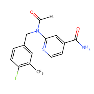 CCC(=O)N(Cc1ccc(F)c(C(F)(F)F)c1)c1cc(C(N)=O)ccn1